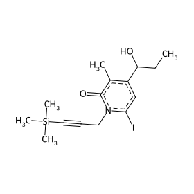 CCC(O)c1cc(I)n(CC#C[Si](C)(C)C)c(=O)c1C